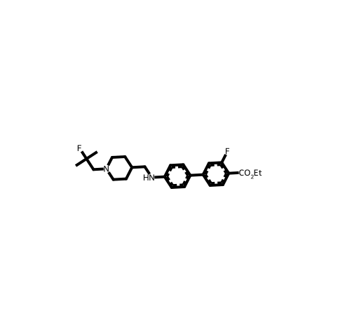 CCOC(=O)c1ccc(-c2ccc(NCC3CCN(CC(C)(C)F)CC3)cc2)cc1F